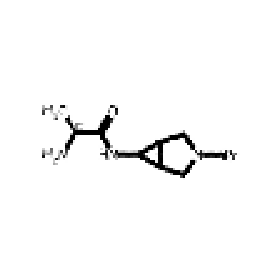 CC(C)N1CC2C(C1)C2NC(=O)[C@H](C)N